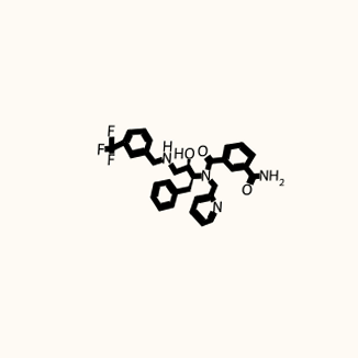 NC(=O)c1cccc(C(=O)N(Cc2ccccn2)[C@@H](Cc2ccccc2)[C@H](O)CNCc2cccc(C(F)(F)F)c2)c1